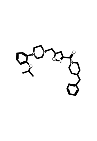 CC(C)Oc1ccccc1N1CCN(CC2CC(C(=O)N3CCC(Cc4ccccc4)CC3)=NO2)CC1